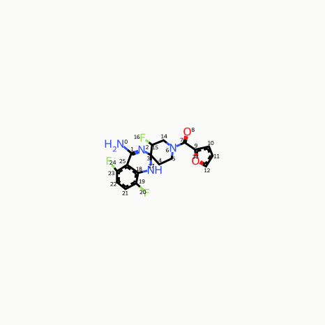 NC1=NC2(CCN(C(=O)c3ccco3)CC2F)Nc2c(F)ccc(F)c21